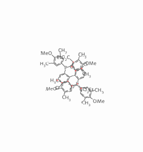 CCOC(=O)COc1c(Cl)ccc(P(c2cc(C)c(OC)c(C)c2)c2cc(C)c(OC)c(C)c2)c1-c1c(P(c2cc(C)c(OC)c(C)c2)c2cc(C)c(OC)c(C)c2)ccc(Cl)c1OCC(=O)OCC